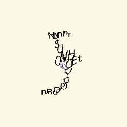 CCCCOCCOc1ccc(-c2ccc(OCC)c(/C=C/C(=O)Nc3ccc(SCc4cncn4CCC)cc3)c2)cc1